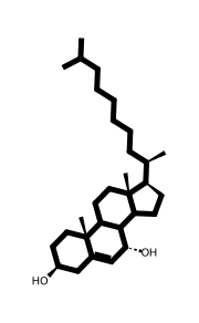 CC(C)CCCCCC[C@@H](C)[C@H]1CCC2C3C(CC[C@@]21C)[C@@]1(C)CC[C@H](O)CC1=C[C@H]3O